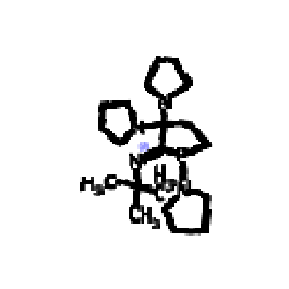 CC(C)(C)/N=C1\P(N2CCCC2)CCC1(N1CCCC1)N1CCCC1